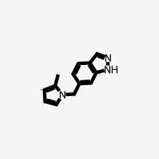 Cc1[c]ccn1Cc1ccc2cn[nH]c2c1